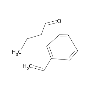 C=Cc1ccccc1.CCCC=O